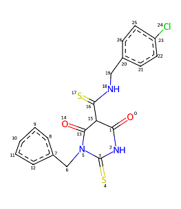 O=C1NC(=S)N(Cc2ccccc2)C(=O)C1C(=S)NCc1ccc(Cl)cc1